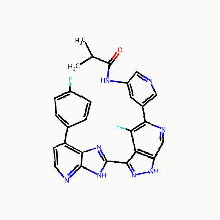 CC(C)C(=O)Nc1cncc(-c2ncc3[nH]nc(-c4nc5c(-c6ccc(F)cc6)ccnc5[nH]4)c3c2F)c1